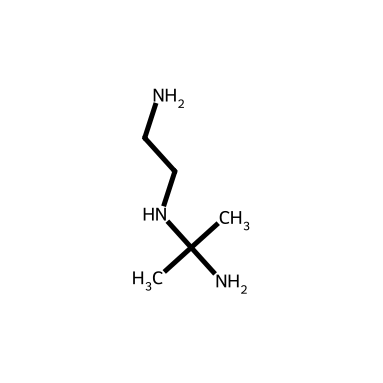 CC(C)(N)NCCN